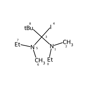 CCN(C)C(I)(N(C)CC)C(C)(C)C